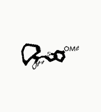 COc1ccc2cc(C(O)C3CCCCCC3)sc2c1